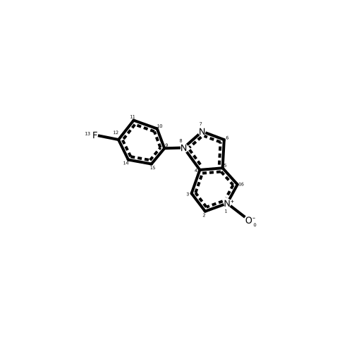 [O-][n+]1ccc2c(cnn2-c2ccc(F)cc2)c1